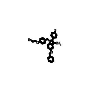 Cc1c(-c2ccc(F)cc2)n(Cc2ccc(OCCBr)cc2)c2ccc(OCc3ccccc3)cc12